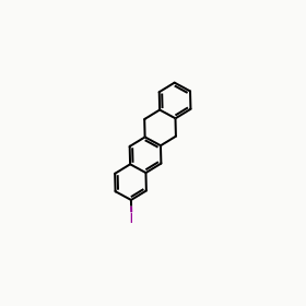 Ic1ccc2cc3c(cc2c1)Cc1ccccc1C3